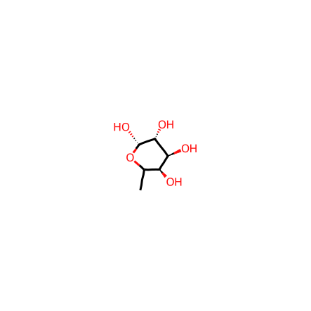 CC1O[C@H](O)[C@H](O)[C@@H](O)[C@H]1O